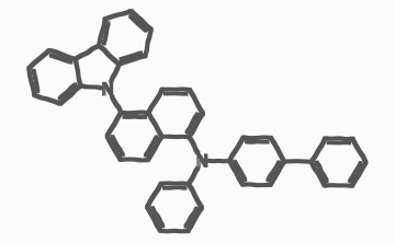 c1ccc(-c2ccc(N(c3ccccc3)c3cccc4c(-n5c6ccccc6c6ccccc65)cccc34)cc2)cc1